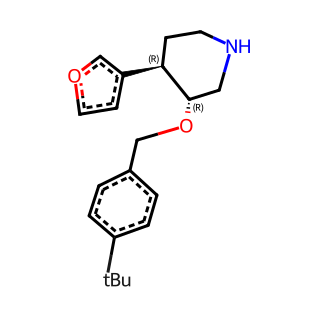 CC(C)(C)c1ccc(CO[C@H]2CNCC[C@@H]2c2ccoc2)cc1